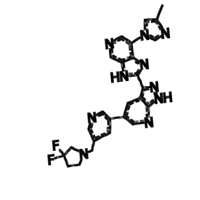 Cc1cn(-c2cncc3[nH]c(-c4n[nH]c5ncc(-c6cncc(CN7CCC(F)(F)C7)c6)cc45)nc23)cn1